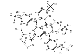 CCC1CC2CCC(c3cc4c5c(c3)N(c3cccc(C(C)(C)CC)c3)c3cc(C(C)(C)C)ccc3B5c3cc(C(C)(C)C)ccc3N4c3ccc(C(C)(C)C)cc3)(C1)C2